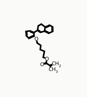 C=C(C)C(=O)OCCCCCOc1ccccc1C1=Cc2ccccc2CC1